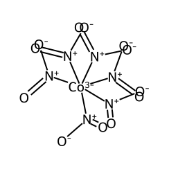 O=[N+]([O-])[Co-3]([N+](=O)[O-])([N+](=O)[O-])([N+](=O)[O-])([N+](=O)[O-])[N+](=O)[O-]